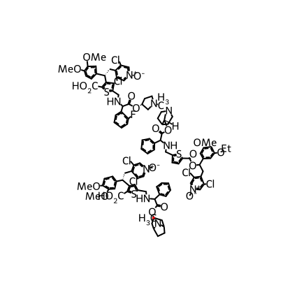 CCOc1cc(C(Cc2c(Cl)c[n+]([O-])cc2Cl)OC(=O)c2ccc(CNC(C(=O)O[C@H]3CN4CCC3CC4)c3ccccc3)s2)ccc1OC.COc1ccc([C@H](Cc2c(Cl)c[n+]([O-])cc2Cl)c2cc(CNC(C(=O)OC3CC4CCC(C3)N4C)c3ccccc3)sc2C(=O)O)cc1OC.COc1ccc([C@H](Cc2c(Cl)c[n+]([O-])cc2Cl)c2cc(CNC(C(=O)O[C@@H]3CCN(C)C3)c3ccccc3F)sc2C(=O)O)cc1OC